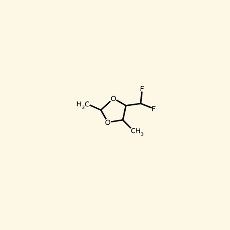 CC1OC(C)C(C(F)F)O1